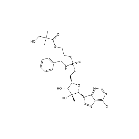 CC(C)(CO)C(=O)SCCOP(=O)(NCc1ccccc1)OC[C@H]1O[C@@H](n2cnc3c(Cl)ncnc32)[C@](C)(O)[C@@H]1O